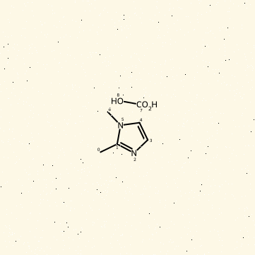 Cc1nccn1C.O=C(O)O